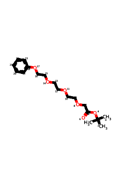 CC(C)(C)OC(=O)COCCOCCOCCOc1[c]cccc1